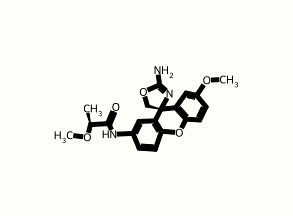 COc1ccc2c(c1)[C@]1(COC(N)=N1)c1cc(NC(=O)[C@H](C)OC)ccc1O2